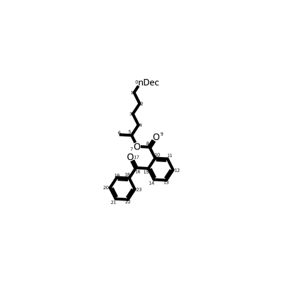 CCCCCCCCCCCCCCC(C)OC(=O)c1ccccc1C(=O)c1ccccc1